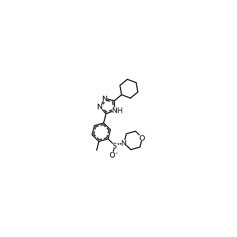 Cc1ccc(-c2nnc(C3CCCCC3)[nH]2)cc1[S+]([O-])N1CCOCC1